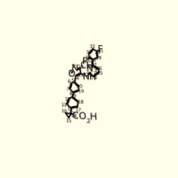 Cc1noc(-c2ccc(-c3ccc(C4(C(=O)O)CC4)cc3)cc2)c1Nc1cccc(-c2cc(F)ccc2F)n1